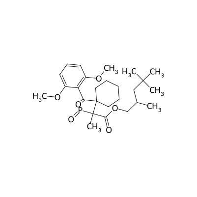 COc1cccc(OC)c1C(=O)C1(C(C)(P=O)C(=O)OCC(C)CC(C)(C)C)CCCCC1